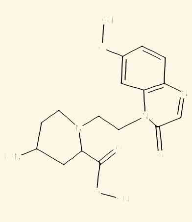 COC(=O)C1CC(N)CCN1CCn1c(=O)cnc2ccc(OC)cc21